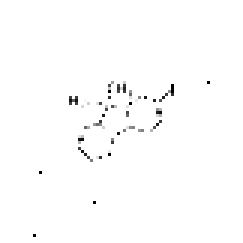 CC1(C)C2C=CCCC2C2CC=C(I)CC21